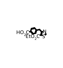 CCOC(=O)c1scnc1Cc1ccc(C(=O)O)cc1